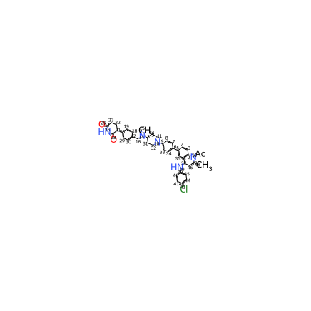 CC(=O)N1c2ccc(-c3ccc(N4CCC(N(C)Cc5ccc(C6CCC(=O)NC6=O)cc5)CC4)cc3)cc2C(Nc2ccc(Cl)cc2)CC1C